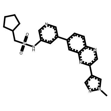 Cn1cc(-c2cnc3ccc(-c4cncc(NS(=O)(=O)CC5CCCC5)c4)cc3n2)cn1